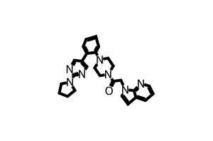 O=C(Cn1ccc2cccnc21)N1CCN(c2ccccc2-c2cnc(N3CCCC3)nc2)CC1